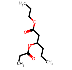 CCCOC(=O)CC(CCC)OC(=O)CC